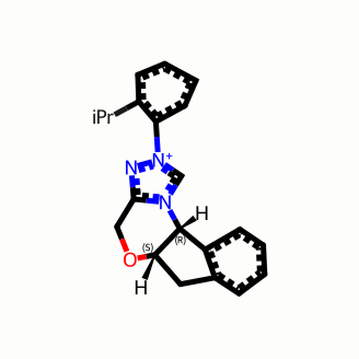 CC(C)c1ccccc1-[n+]1cn2c(n1)CO[C@H]1Cc3ccccc3[C@H]12